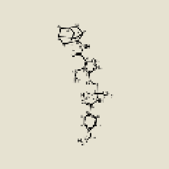 CC(C)Sc1c(OCC(C)(C)NC(=O)c2ccc(CN)cc2)noc1C(=O)NC1C2CC3CC(C2)CC1C3